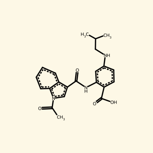 CC(=O)n1cc(C(=O)Nc2cc(NCC(C)C)ccc2C(=O)O)c2ccccc21